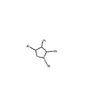 CC(C)C1CN(C(C)C)C(C(C)C)C1C(C)C